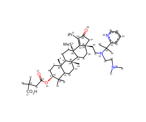 CS[C@]12CCC3[C@@]4(C)CC[C@H](OC(=O)CC(C)(C)C(=O)O)C(C)(C)C4CC[C@@]3(C)C1CC[C@@]1(CCN(CCN(C)C)C(C)(C)c3ccccn3)CC(=O)C(C(C)C)=C12